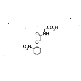 O=C(O)CNC(=O)COc1ccccc1[N+](=O)[O-]